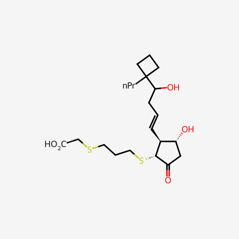 CCCC1(C(O)C/C=C/[C@H]2[C@H](O)CC(=O)[C@@H]2SCCCSCC(=O)O)CCC1